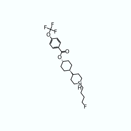 O=C(O[C@H]1CC[C@H](C2CC[SiH](CCCCF)CC2)CC1)c1ccc(OC(F)(F)F)cc1